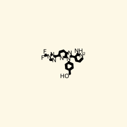 Nc1ncccc1-c1nc2ccc(-c3ncn(C(F)F)n3)nc2n1-c1ccc(CO)cc1